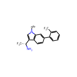 CCCn1cc([C@H](N)C(F)(F)F)c2ccc(-c3ccccc3C(F)(F)F)cc21